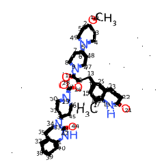 COC1CCN(C2CCN(C(=O)[C@@H](Cc3cc(C)c4[nH]c(=O)ccc4c3)OC(=O)N3CCC(N4CCc5ccccc5NC4=O)CC3)CC2)CC1